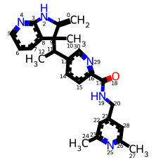 C=C1Nc2ncccc2C1(C)C(C)c1ccc(C(=O)NCc2cc(C)nc(C)c2)nc1